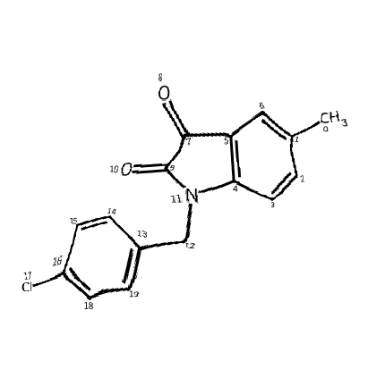 Cc1ccc2c(c1)C(=O)C(=O)N2Cc1ccc(Cl)cc1